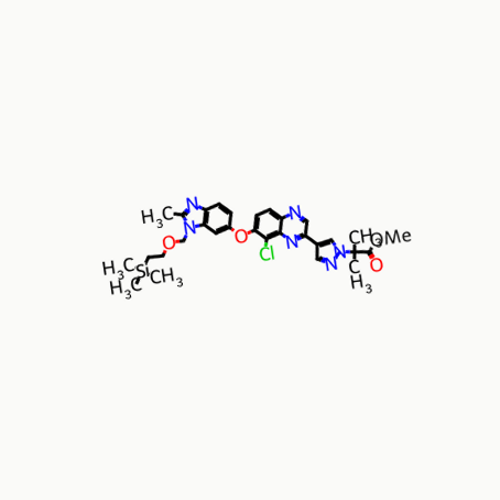 COC(=O)C(C)(C)n1cc(-c2cnc3ccc(Oc4ccc5nc(C)n(COCC[Si](C)(C)C)c5c4)c(Cl)c3n2)cn1